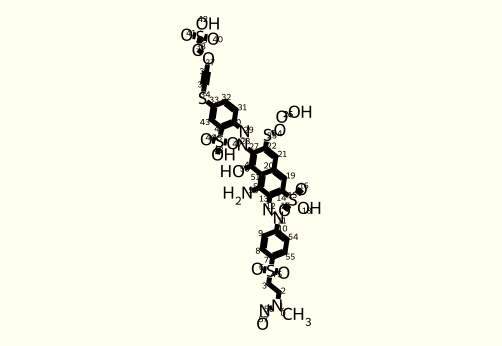 CN(CCS(=O)(=O)c1ccc(N=Nc2c(S(=O)(=O)O)cc3cc(SOOO)c(N=Nc4ccc(SC#COOS(=O)(=O)O)cc4S(=O)(=O)O)c(O)c3c2N)cc1)N=O